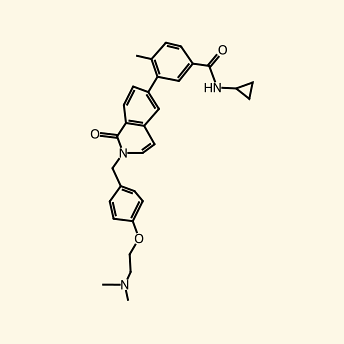 Cc1ccc(C(=O)NC2CC2)cc1-c1ccc2c(=O)n(Cc3ccc(OCCN(C)C)cc3)ccc2c1